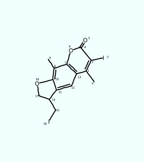 Cc1c(I)c(=O)oc2c(C)c3c(cc12)C(CI)CO3